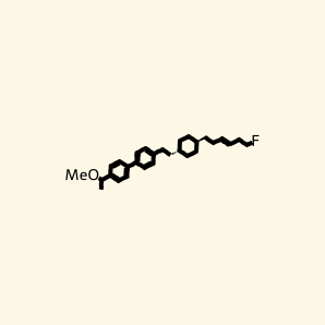 COC(C)c1ccc(-c2ccc(CC[C@H]3CC[C@H](CCC=CCCF)CC3)cc2)cc1